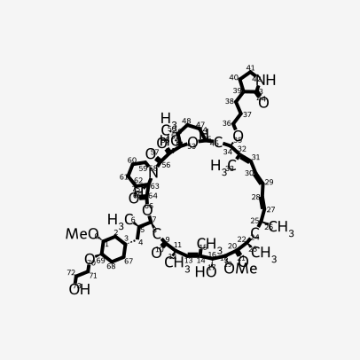 CO[C@@H]1C[C@H](C[C@@H](C)[C@@H]2CC(=O)[C@H](C)/C=C(\C)[C@@H](O)[C@@H](OC)C(=O)[C@H](C)C[C@H](C)/C=C/C=C/C=C(\C)[C@@H](OCCCC3CCNC3=O)C[C@@H]3CC[C@@H](C)[C@@](O)(O3)C(=O)C(=O)N3CCCC[C@H]3C(=O)O2)CC[C@H]1OCCO